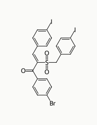 O=C(/C(=C/c1ccc(I)cc1)S(=O)(=O)Cc1ccc(I)cc1)c1ccc(Br)cc1